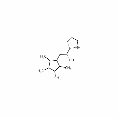 CC1C(C)C(C)C(C[C@@H](O)[C@@H]2CCCN2)C1C